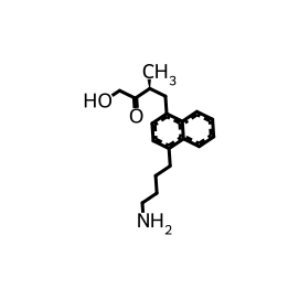 C[C@@H](Cc1ccc(CCCCN)c2ccccc12)C(=O)CO